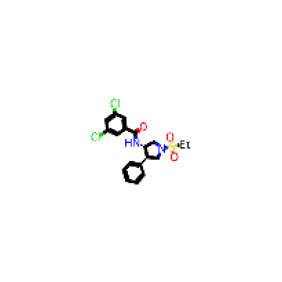 CCS(=O)(=O)N1C[C@@H](NC(=O)c2cc(Cl)cc(Cl)c2)[C@H](c2ccccc2)C1